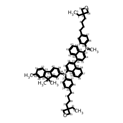 CCC1(CCCCc2ccc(N(C)c3ccc(-c4ccc(N(c5ccc(CCCCC6(CC)COC6)cc5)c5ccc6c(c5)C(C)(C)c5cc(C)ccc5-6)c5ccccc45)c4ccccc34)cc2)COC1